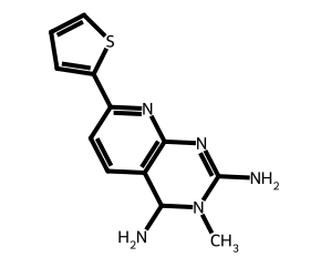 CN1C(N)=Nc2nc(-c3cccs3)ccc2C1N